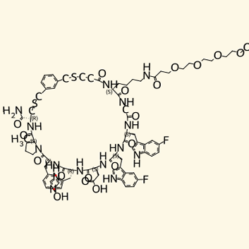 COCCOCCOCCOCCC(=O)NCCCC[C@@H]1NC(=O)CCSCc2cccc(c2)CSC[C@@H](C(N)=O)NC(=O)[C@]2(C)CCCN2C(=O)[C@H](Cc2ccc(O)cc2)NC(=O)[C@@H](Cc2cnc[nH]2)NC(=O)[C@H](CC(=O)O)NC(=O)[C@H](Cc2c[nH]c3ccc(F)cc23)NC(=O)[C@H](Cc2c[nH]c3ccc(F)cc23)NC(=O)CNC1=O